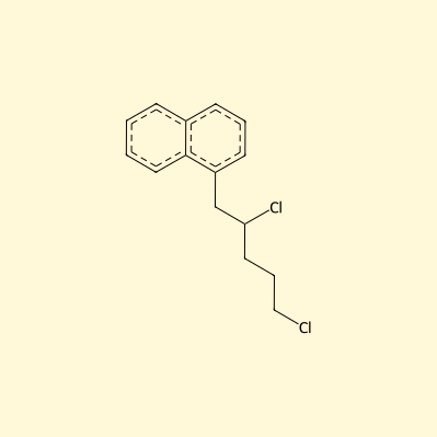 ClCCCC(Cl)Cc1cccc2ccccc12